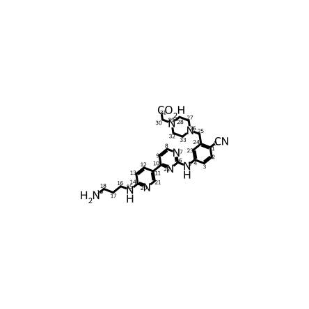 N#Cc1ccc(Nc2nccc(-c3ccc(NCCCN)nc3)n2)cc1CN1CCN(CC(=O)O)CC1